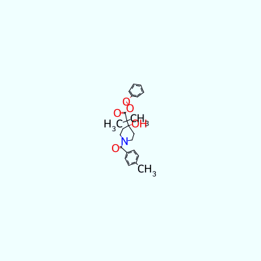 Cc1ccc(C(=O)N2CCC(O)(C(C)(C)C(=O)OOc3ccccc3)CC2)cc1